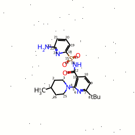 CC1CCN(c2nc(C(C)(C)C)ccc2C(=O)NS(=O)(=O)c2cccc(N)n2)CC1